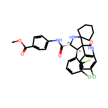 COC(=O)c1ccc(NC(=O)[C@@H]2NC3(CCCCC3)C3(C(=O)Nc4cc(Cl)ccc43)[C@H]2c2cccc(Cl)c2F)cc1